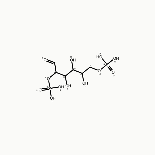 O=CC(OP(=O)(O)O)C(O)C(O)C(O)COP(=O)(O)O